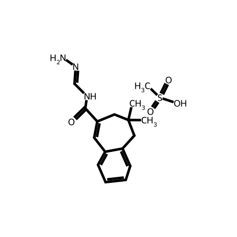 CC1(C)CC(C(=O)NC=NN)=Cc2ccccc2C1.CS(=O)(=O)O